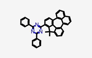 CC1(C)c2cccc3c2-c2c(ccc(-c4nc(-c5ccccc5)nc(-c5ccccc5)n4)c21)-c1cccc2cccc-3c12